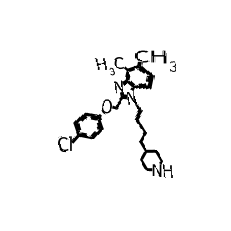 Cc1ccc2c(nc(COc3ccc(Cl)cc3)n2CCCCC2CCNCC2)c1C